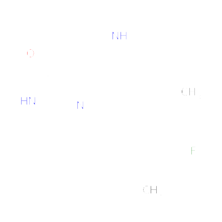 Cc1cc(N2CNC(=O)C23CCNCC3)cc(C)c1F